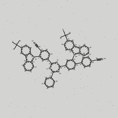 CC(C)(C)c1ccc2c(c1)c1ccccc1n2-c1cc(-c2nc(-c3ccccc3)nc(-c3ccc(-c4ccc(C#N)cc4)c(-n4c5ccccc5c5cc(C(C)(C)C)ccc54)c3)n2)ccc1C#N